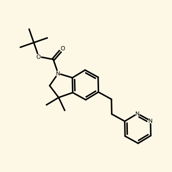 CC(C)(C)OC(=O)N1CC(C)(C)c2cc(CCc3cccnn3)ccc21